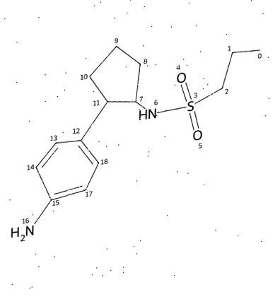 CCCS(=O)(=O)NC1CCCC1c1ccc(N)cc1